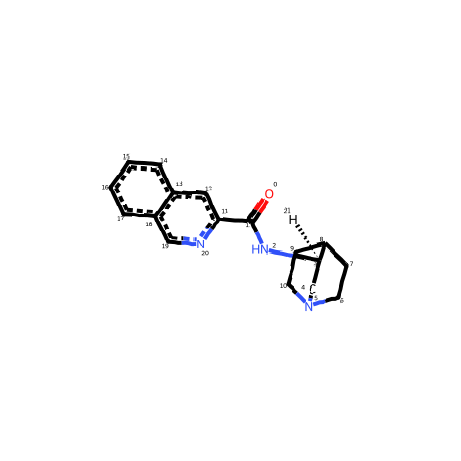 O=C(N[C@@H]1CN2CCC1CC2)c1cc2ccccc2cn1